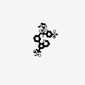 Cn1ccnc1S(=O)(=O)C(F)(Cc1cccc(-c2cc(C(C)(C)S(C)(=O)=O)cc3cccnc23)c1)c1ccc(S(C)(=O)=O)cc1